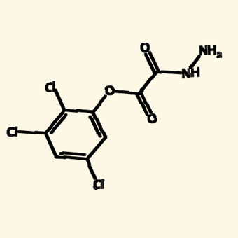 NNC(=O)C(=O)Oc1cc(Cl)cc(Cl)c1Cl